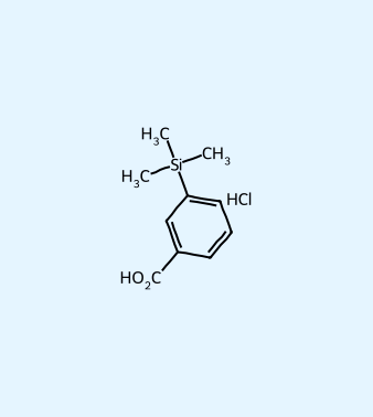 C[Si](C)(C)c1cccc(C(=O)O)c1.Cl